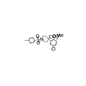 COc1ccc(Cl)cc1C1(C(=O)O)CCN(S(=O)(=O)c2ccc(C)cc2)CC1